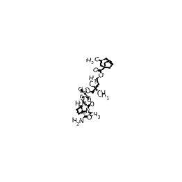 CC1CC2=CCC(C(=O)OCCC(C)(C)COS(=O)(=O)ON3C(=O)N(C)[C@@]4(C(N)=O)CC[C@@H]34)(C2)C1